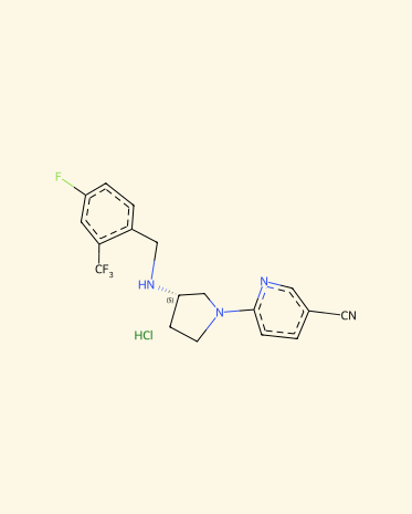 Cl.N#Cc1ccc(N2CC[C@H](NCc3ccc(F)cc3C(F)(F)F)C2)nc1